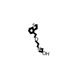 OC1CN(CCCOCCc2cccc3sccc23)C1